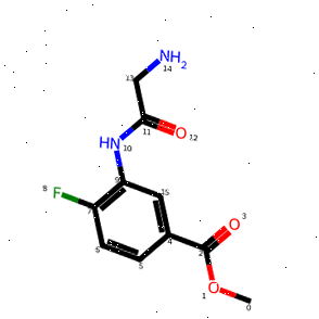 COC(=O)c1ccc(F)c(NC(=O)CN)c1